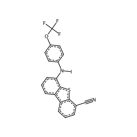 N#Cc1cccc2c1sc1c(N(I)c3ccc(OC(F)(F)F)cc3)cccc12